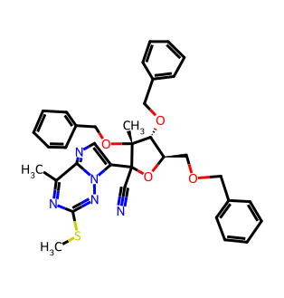 CSc1nc(C)c2ncc(C3(C#N)O[C@H](COCc4ccccc4)[C@@H](OCc4ccccc4)[C@@]3(C)OCc3ccccc3)n2n1